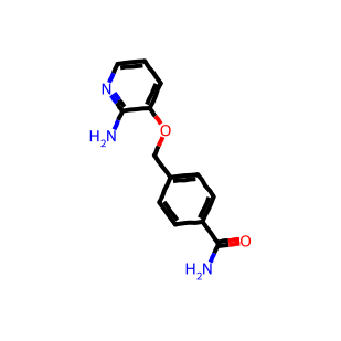 NC(=O)c1ccc(COc2cccnc2N)cc1